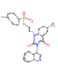 Cc1ccc(S(=O)(=O)OCCn2c(=O)n(-c3cncc4ccccc34)c(=O)c3cc(C(F)(F)F)ccc32)cc1